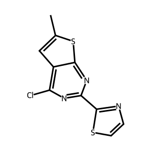 Cc1cc2c(Cl)nc(-c3nccs3)nc2s1